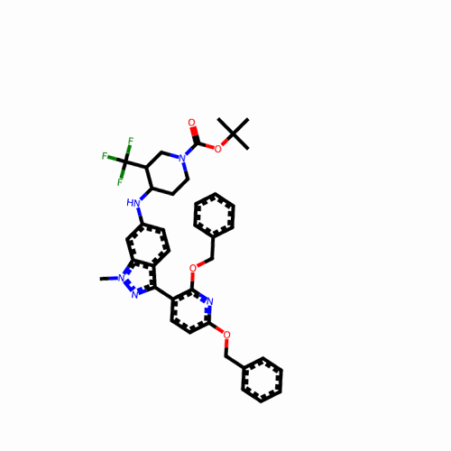 Cn1nc(-c2ccc(OCc3ccccc3)nc2OCc2ccccc2)c2ccc(NC3CCN(C(=O)OC(C)(C)C)CC3C(F)(F)F)cc21